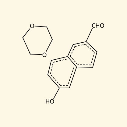 C1COCCO1.O=Cc1ccc2cc(O)ccc2c1